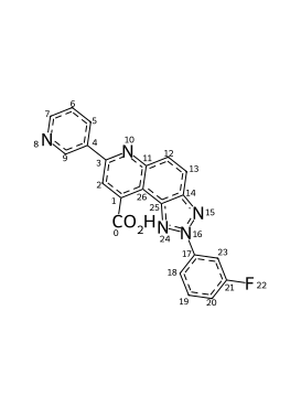 O=C(O)c1cc(-c2cccnc2)nc2ccc3nn(-c4cccc(F)c4)nc3c12